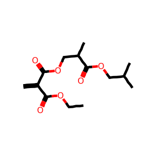 C=C(C(=O)OCC)C(=O)OCC(C)C(=O)OCC(C)C